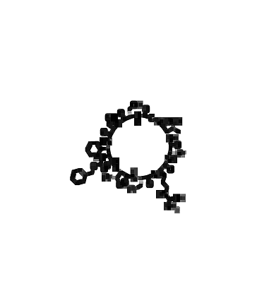 CC(C)C[C@@H]1NC(=O)[C@H]([C@H](O)C(C)C)NC(=O)[C@@H](NC(=O)OCc2ccccc2)[C@@H](c2ccccc2)NC(=O)C(CO)NC(=O)[C@H](CO)NC(=O)CNC(=O)[C@H]([C@H](C)O)NC(=O)[C@H](C(C)C)NC(=O)[C@@H](CCCNC(=N)N)NC1=O